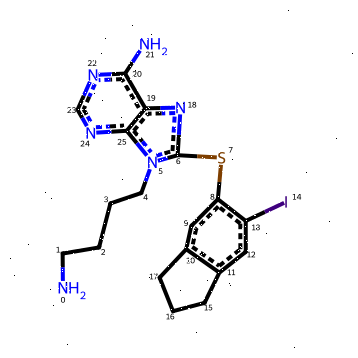 NCCCCn1c(Sc2cc3c(cc2I)CCC3)nc2c(N)ncnc21